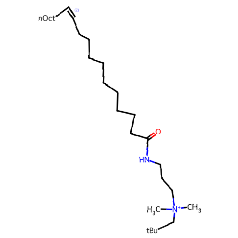 CCCCCCCC/C=C\CCCCCCCCCC(=O)NCCC[N+](C)(C)CC(C)(C)C